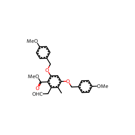 COC(=O)c1c(OCc2ccc(OC)cc2)cc(OCc2ccc(OC)cc2)c(C)c1CC=O